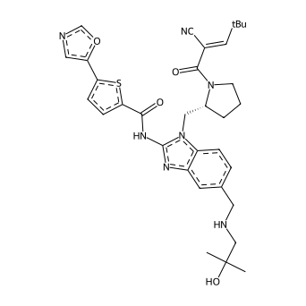 CC(C)(C)C=C(C#N)C(=O)N1CCC[C@@H]1Cn1c(NC(=O)c2ccc(-c3cnco3)s2)nc2cc(CNCC(C)(C)O)ccc21